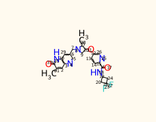 Cc1cc2ncc(CN3C[C@H](Oc4ccc(C(=O)NC5CC(F)(F)C5)nc4)[C@H]3C)cc2[nH]c1=O